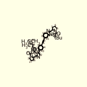 CC(C)(C)OC(=O)N1CCCC1c1nc2ccc(C#Cc3ccc(-c4cnc(C5CCCN5C(=O)OC(C)(C)C)n4COCC[Si](C)(C)C)cc3)cc2[nH]1